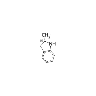 [CH2][C@H]1Cc2ccccc2N1